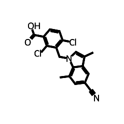 Cc1cn(Cc2c(Cl)ccc(C(=O)O)c2Cl)c2c(C)cc(C#N)cc12